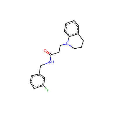 O=C(CCN1CCCc2ccccc21)NCc1cccc(F)c1